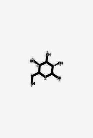 OC1[C@H](O)C(S)OC(CS)[C@H]1O